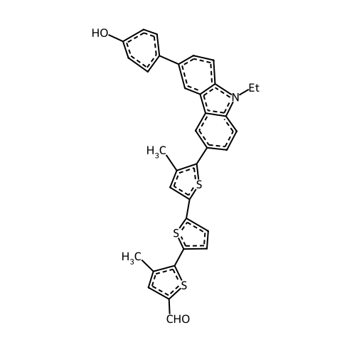 CCn1c2ccc(-c3ccc(O)cc3)cc2c2cc(-c3sc(-c4ccc(-c5sc(C=O)cc5C)s4)cc3C)ccc21